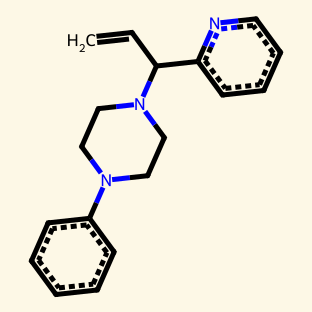 C=CC(c1ccccn1)N1CCN(c2ccccc2)CC1